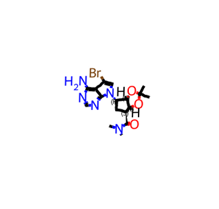 CN(C)C(=O)[C@H]1C[C@@H](n2cc(Br)c3c(N)ncnc32)[C@@H]2OC(C)(C)O[C@@H]21